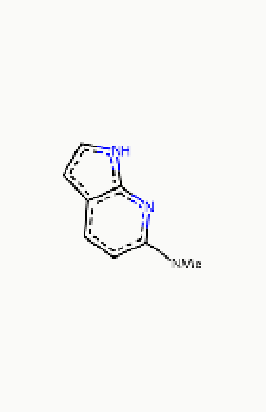 CNc1ccc2cc[nH]c2n1